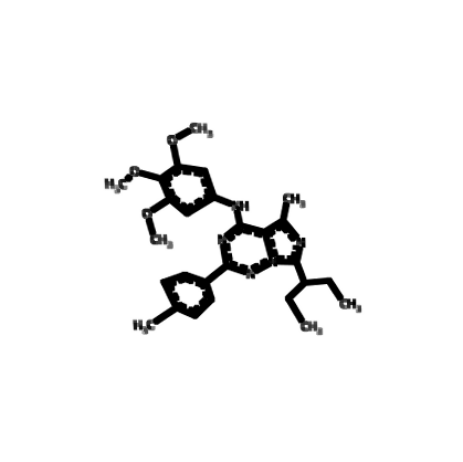 CCC(CC)c1nc(C)c2c(Nc3cc(OC)c(OC)c(OC)c3)nc(-c3ccc(C)cc3)nn12